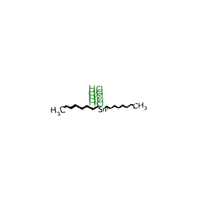 CCCCCCC[CH2][Sn][CH2]CCCCCCC.Cl.Cl.Cl.Cl.Cl